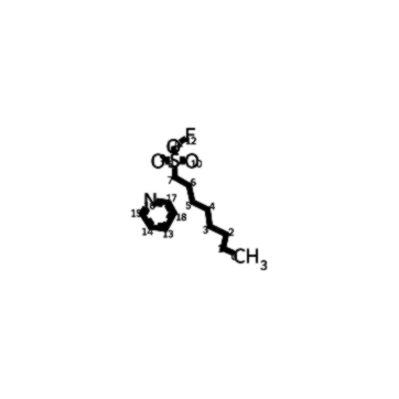 CCCCCCCCS(=O)(=O)OF.c1ccncc1